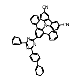 N#Cc1ccc2c(c1)c1cc(C#N)ccc1n2-c1c(-c2ccccc2)cc(-c2nc(-c3ccccc3)nc(-c3ccc(C4=CCCC=C4)cc3)n2)cc1-c1ccccc1